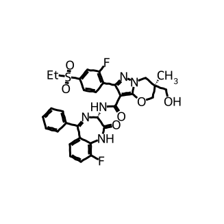 CCS(=O)(=O)c1ccc(-c2nn3c(c2C(=O)N[C@H]2N=C(c4ccccc4)c4cccc(F)c4NC2=O)OC[C@](C)(CO)C3)c(F)c1